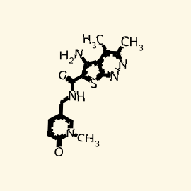 Cc1nnc2sc(C(=O)NCc3ccc(=O)n(C)c3)c(N)c2c1C